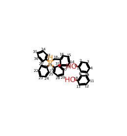 Oc1ccccc1.Oc1ccccc1.c1ccc(C[PH](c2ccccc2)(c2ccccc2)c2ccccc2)cc1